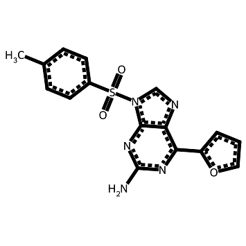 Cc1ccc(S(=O)(=O)n2cnc3c(-c4ccco4)nc(N)nc32)cc1